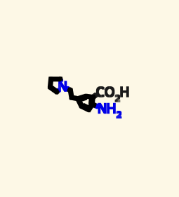 Nc1ccc(CCN2CCCC2)cc1C(=O)O